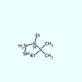 CC[SiH]([SiH2][SiH3])[Si](C)(C)CC